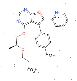 COc1ccc(-c2c(-c3ccccn3)oc3ncnc(OC[C@H](C)OCCC(=O)O)c23)cc1